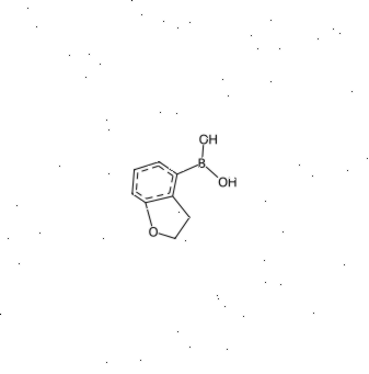 OB(O)c1cccc2c1CCO2